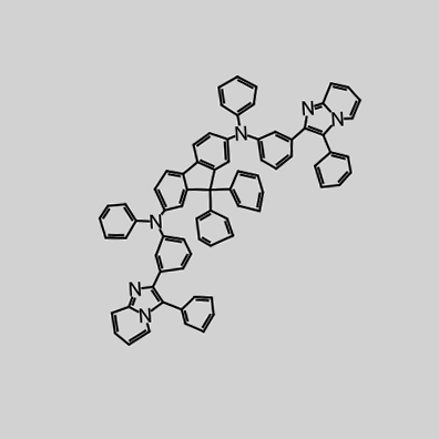 c1ccc(-c2c(-c3cccc(N(c4ccccc4)c4ccc5c(c4)C(c4ccccc4)(c4ccccc4)c4cc(N(c6ccccc6)c6cccc(-c7nc8ccccn8c7-c7ccccc7)c6)ccc4-5)c3)nc3ccccn23)cc1